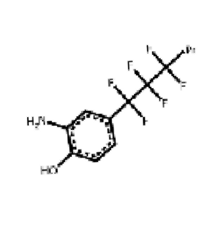 CC(C)C(F)(F)C(F)(F)C(F)(F)c1ccc(O)c(N)c1